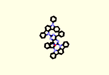 C1=Cc2c(n(-c3ccccc3)c3ccc4c5ccccc5n(-c5nc(-c6ccccc6)c6nc(-n7c8ccccc8c8ccc9c%10ccccc%10n(-c%10ccccc%10)c9c87)nc(-c7ccccc7)c6n5)c4c23)CC1